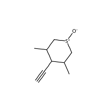 C#CC1C(C)C[S+]([O-])CC1C